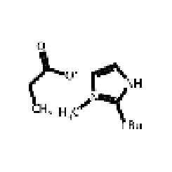 CCC(=O)[O-].CCCCc1[nH]cc[n+]1C